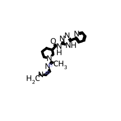 C=N/C=C\N=C(/C)N1CCCC(C(=O)Nc2nnc(-c3ccccn3)[nH]2)C1